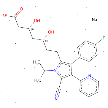 CC(C)n1c(C#N)c(-c2ccccn2)c(-c2ccc(F)cc2)c1CC[C@@H](O)C[C@@H](O)CC(=O)[O-].[Na+]